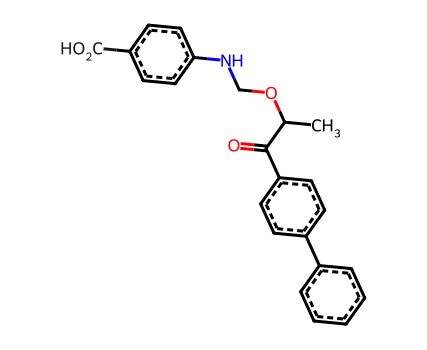 CC(OCNc1ccc(C(=O)O)cc1)C(=O)c1ccc(-c2ccccc2)cc1